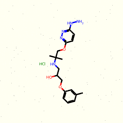 Cc1cccc(OCC(O)CNC(C)(C)COc2ccc(NN)nn2)c1.Cl